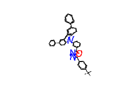 CC(C)(C)c1ccc(-c2nnc(-c3cccc(-n4c5ccc(-c6ccccc6)cc5c5cc(-c6ccccc6)ccc54)c3)o2)cc1